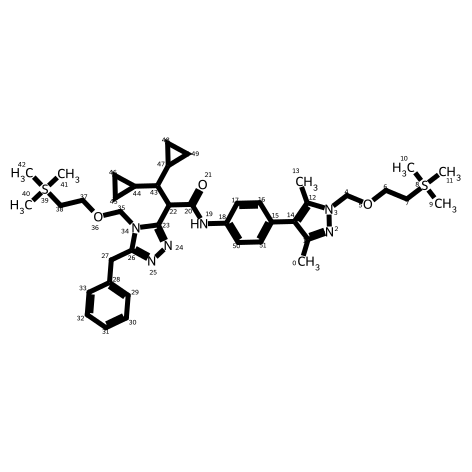 Cc1nn(COCCS(C)(C)C)c(C)c1-c1ccc(NC(=O)C(c2nnc(Cc3ccccc3)n2COCCS(C)(C)C)C(C2CC2)C2CC2)cc1